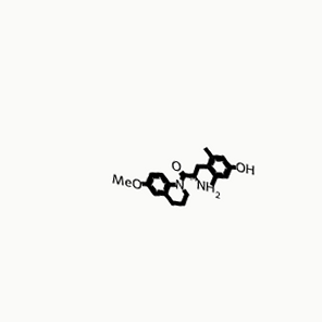 COc1ccc2c(c1)CCCN2C(=O)[C@H](N)Cc1c(C)cc(O)cc1C